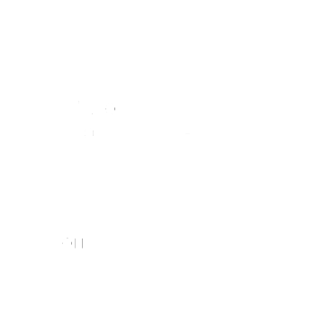 C=C(C)C(=O)OCCc1cc(-c2ccc(-c3ccc4ccccc4c3)c(F)c2)ccc1CCCO